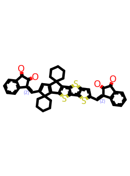 O=C1C(=O)c2ccccc2/C1=C/C1=CC2=C(c3sc4c(sc5cc(/C=C6\C(=O)C(=O)c7ccccc76)sc54)c3C23CCCCC3)C12CCCCC2